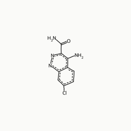 NC(=O)c1nnc2cc(Cl)ccc2c1N